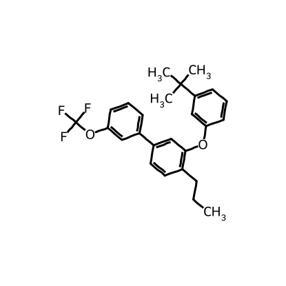 CCCc1ccc(-c2cccc(OC(F)(F)F)c2)cc1Oc1cccc(C(C)(C)C)c1